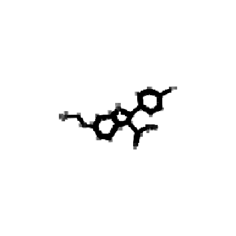 CNC(=O)c1c(-c2ccc(F)cc2)oc2cc(OCC(F)(F)F)ccc12